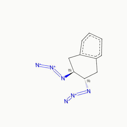 [N-]=[N+]=N[C@H]1Cc2ccccc2C[C@@H]1N=[N+]=[N-]